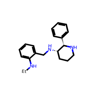 CCNc1ccccc1CN[C@H]1CCCN[C@H]1c1ccccc1